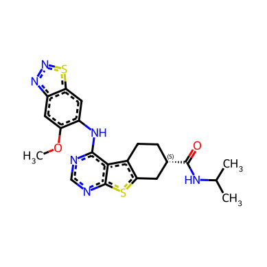 COc1cc2nnsc2cc1Nc1ncnc2sc3c(c12)CC[C@H](C(=O)NC(C)C)C3